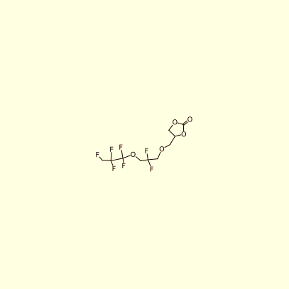 O=C1OCC(COCC(F)(F)COC(F)(F)C(F)(F)CF)O1